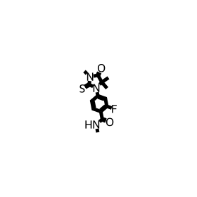 CNC(=O)c1ccc(N2C(=S)N(C)C(=O)C2(C)C)cc1F